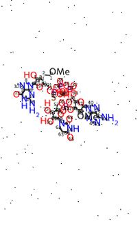 COCC[C@H]1[C@@H](O)[C@H](n2c[n+](C)c3c(=O)[nH]c(N)nc32)O[C@@H]1COP(O)(=S)OP(=O)(O)OP(=O)(O)OC[C@H]1O[C@@H](n2cnc3c(N)ncnc32)[C@H](OC)[C@@H]1OP(=O)([O-])OC[C@H]1O[C@@H](n2ccc(=O)[nH]c2=O)[C@H](O)[C@@H]1O